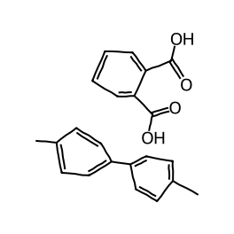 Cc1ccc(-c2ccc(C)cc2)cc1.O=C(O)c1ccccc1C(=O)O